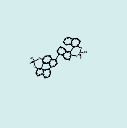 S=P1(S)Oc2ccc3ccccc3c2-c2c(ccc3c(-c4cccc5c6c(ccc45)OP(=S)(S)Oc4ccc5ccccc5c4-6)cccc23)O1